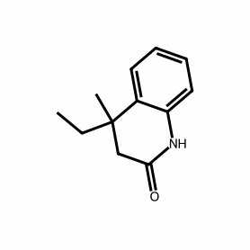 CCC1(C)CC(=O)Nc2ccccc21